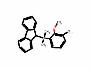 COc1c(C)cccc1[Si](C)(C)C1c2ccccc2-c2ccccc21